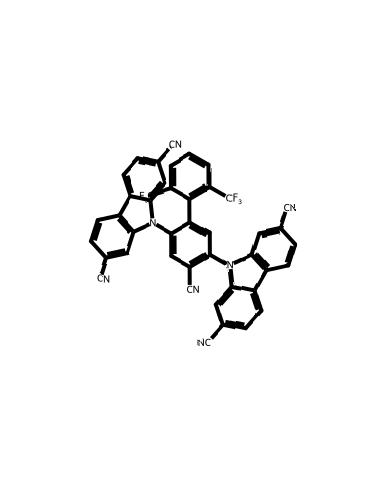 N#Cc1ccc2c3ccc(C#N)cc3n(-c3cc(-c4c(C(F)(F)F)cccc4C(F)(F)F)c(-n4c5cc(C#N)ccc5c5ccc(C#N)cc54)cc3C#N)c2c1